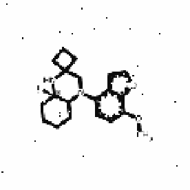 COc1ccc(N2CC3(CCC3)N[C@H]3CCCCC32)c2ccoc12